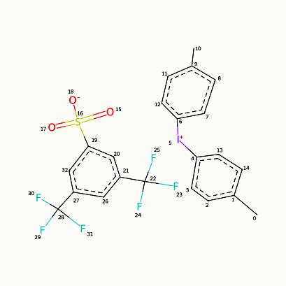 Cc1ccc([I+]c2ccc(C)cc2)cc1.O=S(=O)([O-])c1cc(C(F)(F)F)cc(C(F)(F)F)c1